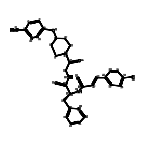 COc1ccc(OC2CCN(C(=O)CNC(=O)[C@H](Cc3ccccn3)NC(=O)C=Cc3ccc(Cl)cc3)CC2)nn1